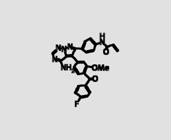 C=CC(=O)Nc1ccc(-c2nn3ncnc(N)c3c2-c2ccc(C(=O)c3ccc(F)cc3)c(OC)c2)cc1